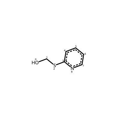 OCSc1ccccn1